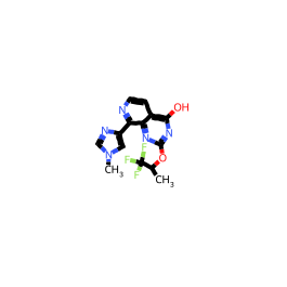 CC(Oc1nc(O)c2ccnc(-c3cn(C)cn3)c2n1)C(F)(F)F